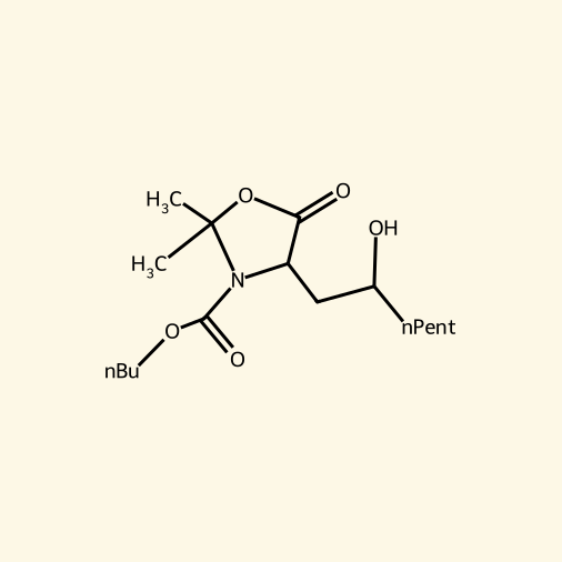 CCCCCC(O)CC1C(=O)OC(C)(C)N1C(=O)OCCCC